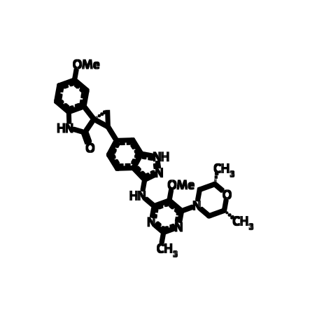 COc1ccc2c(c1)[C@]1(CC1c1ccc3c(Nc4nc(C)nc(N5C[C@@H](C)O[C@@H](C)C5)c4OC)n[nH]c3c1)C(=O)N2